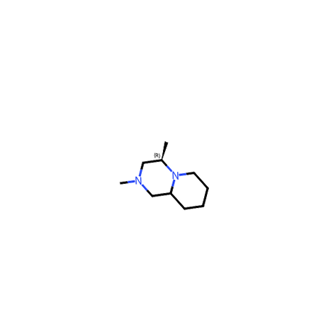 C[C@@H]1CN(C)CC2CCCCN21